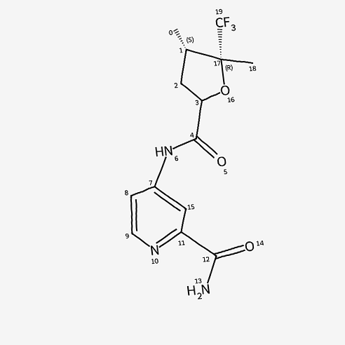 C[C@H]1CC(C(=O)Nc2ccnc(C(N)=O)c2)O[C@@]1(C)C(F)(F)F